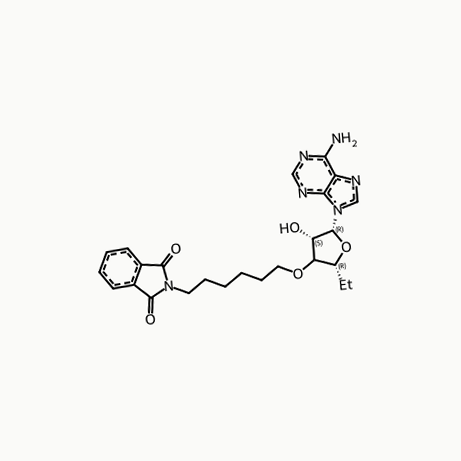 CC[C@H]1O[C@@H](n2cnc3c(N)ncnc32)[C@@H](O)C1OCCCCCCN1C(=O)c2ccccc2C1=O